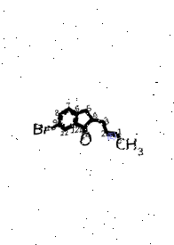 C/C=C/CC1Cc2ccc(Br)cc2C1=O